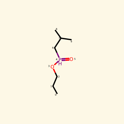 CCCO[PH](=O)CC(C)C